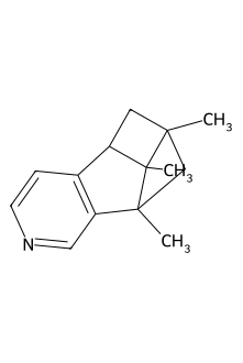 CC12CC3c4ccncc4C(C)(C1)C32C